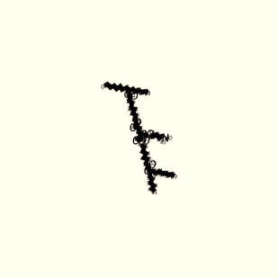 CCCCCCCCC(CCCCCC)OC(=O)CCCCCCCOC(=O)CCC(OC(=O)OCCCCN(C)C)C(=O)OCCCCCCCC(=O)OC(CCCCCC)CCCCCCCC